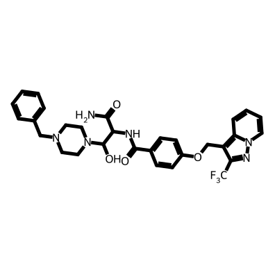 NC(=O)C(NC(=O)c1ccc(OCc2c(C(F)(F)F)nn3ccccc23)cc1)C(O)N1CCN(Cc2ccccc2)CC1